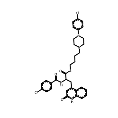 O=C(NC(Cc1cc(=O)[nH]c2ccccc12)C(=O)SCCCCN1CCN(c2ccc(Cl)cc2)CC1)c1ccc(Cl)cc1